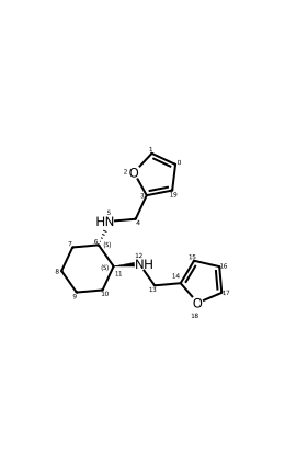 c1coc(CN[C@H]2CCCC[C@@H]2NCc2ccco2)c1